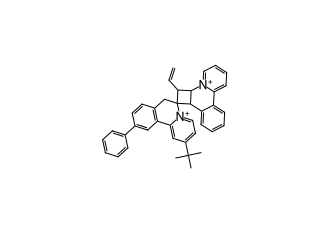 C=CC1C2C(c3ccccc3-c3cccc[n+]32)C12Cc1ccc(-c3ccccc3)cc1-c1cc(C(C)(C)C)cc[n+]12